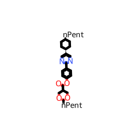 CCCCCC1OCC(C(=O)Oc2ccc(-c3ncc([C@H]4CC[C@H](CCCCC)CC4)cn3)cc2)CO1